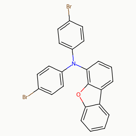 Brc1ccc(N(c2ccc(Br)cc2)c2cccc3c2oc2ccccc23)cc1